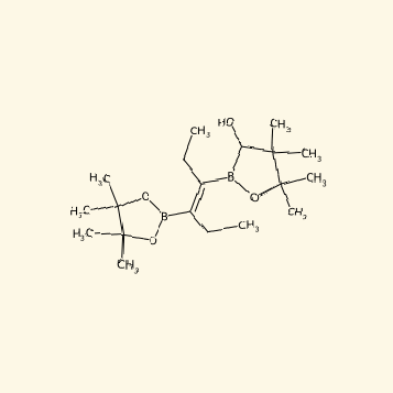 CCC(B1OC(C)(C)C(C)(C)O1)=C(CC)B1OC(C)(C)C(C)(C)C1O